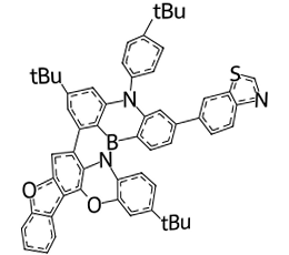 CC(C)(C)c1ccc(N2c3cc(-c4ccc5ncsc5c4)ccc3B3c4c(cc(C(C)(C)C)cc42)-c2cc4oc5ccccc5c4c4c2N3c2ccc(C(C)(C)C)cc2O4)cc1